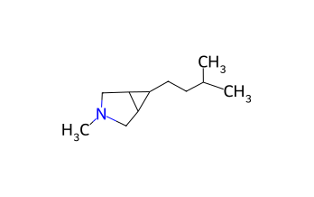 CC(C)CCC1C2CN(C)CC12